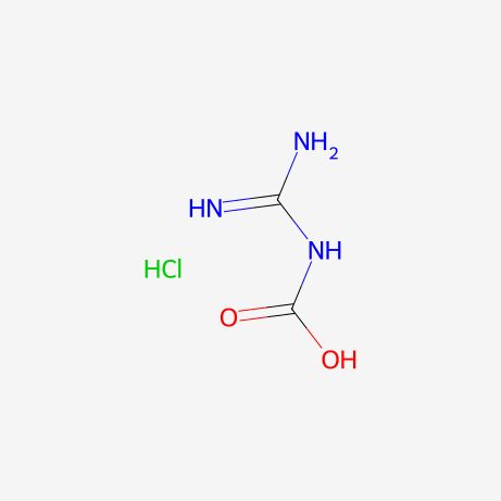 Cl.N=C(N)NC(=O)O